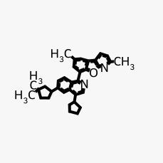 Cc1cc(-c2ncc(C3CCCC3)c3cc(C4CCC(C)(C)C4)ccc23)c2oc3nc(C)ccc3c2c1